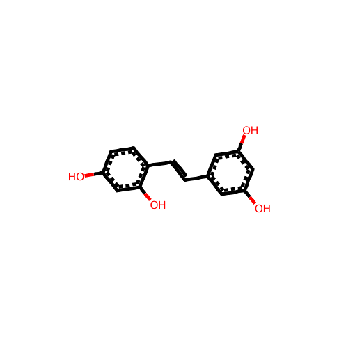 Oc1cc(O)cc(C=Cc2ccc(O)cc2O)c1